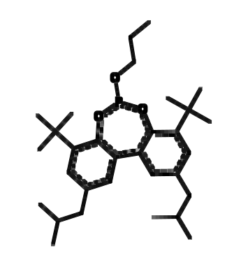 CCCOp1oc2c(C(C)(C)C)cc(CC(C)C)cc2c2cc(CC(C)C)cc(C(C)(C)C)c2o1